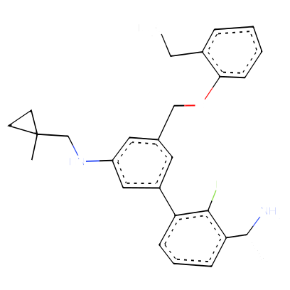 C[C@@H](N)c1cccc(-c2cc(COc3ccccc3CC(=O)O)cc(NCC3(C)CC3)c2)c1F